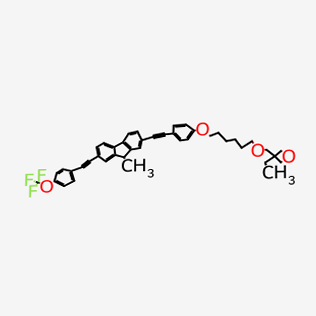 CCC1(COCCCCCCOc2ccc(C#Cc3ccc4c(c3)C(C)c3cc(C#Cc5ccc(OC(F)(F)F)cc5)ccc3-4)cc2)COC1